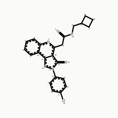 O=C(Cc1oc2ccccc2c2nn(-c3ccc(Cl)cc3)c(=O)c1-2)OCC1CCC1